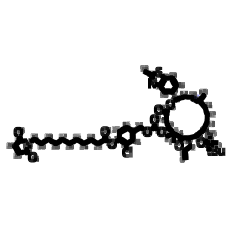 C=CC[C@H]1C(=O)C(C)(C)[C@@H](OC(=O)OCc2ccc(OC(=O)CCCCCCCCCCN3C(=O)C=CC3=O)c(Cl)c2)CC(=O)O[C@H](c2ccc3sc(C)nc3c2)C/C=C(/C)CCC[C@H](C)[C@@H]1O[Si](C)(C)C(C)(C)C